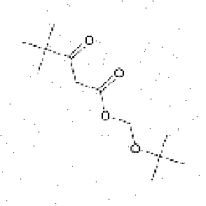 CC(C)(C)OCOC(=O)CC(=O)C(C)(C)C